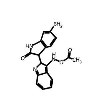 Bc1ccc2c(c1)NC(=O)C2C1N=c2ccccc2=C1NOC(C)=O